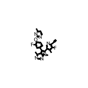 C#Cc1ncc(-c2c(-c3ccc(Oc4nccc(C)n4)c(F)c3)c3c(C)ncnc3n2C)c(C)c1F